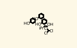 CC(C)CCO.ClC(Cl)Cl.Oc1ccccc1.Oc1ccccc1.Oc1ccccc1